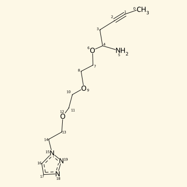 CC#CCC(N)OCCOCCOCCn1ccnn1